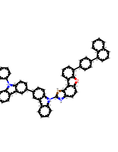 c1ccc(-n2c3ccccc3c3cc(-c4ccc5c(c4)c4ccccc4n5-c4nc5ccc6oc7c(-c8ccc(-c9cccc%10ccccc9%10)cc8)cccc7c6c5s4)ccc32)cc1